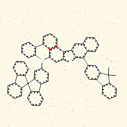 CC1(C)c2ccccc2-c2ccc(-c3c4ccccc4cc4c3oc3cc(N(c5ccc6c(c5)C5(c7ccccc7-c7ccccc75)c5ccccc5-6)c5ccccc5-c5ccccc5)ccc34)cc21